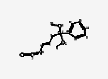 CO[Si](CC=CN=C=O)(OC)c1ccccc1